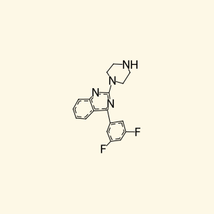 Fc1cc(F)cc(-c2nc(N3CCNCC3)nc3ccccc23)c1